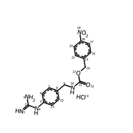 Cl.N=C(N)Nc1ccc(CNC(=O)OCc2ccc([N+](=O)[O-])cc2)cc1